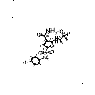 CN(c1ccc(F)cc1)S(=O)(=O)c1cc(C(N)=O)c(NC(=O)C2(O)CC2)s1